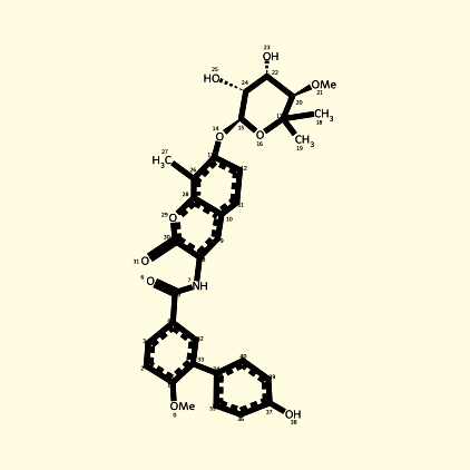 COc1ccc(C(=O)Nc2cc3ccc(O[C@@H]4OC(C)(C)[C@H](OC)[C@@H](O)[C@H]4O)c(C)c3oc2=O)cc1-c1ccc(O)cc1